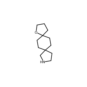 C1COC2(C1)CCC1(CCNC1)CC2